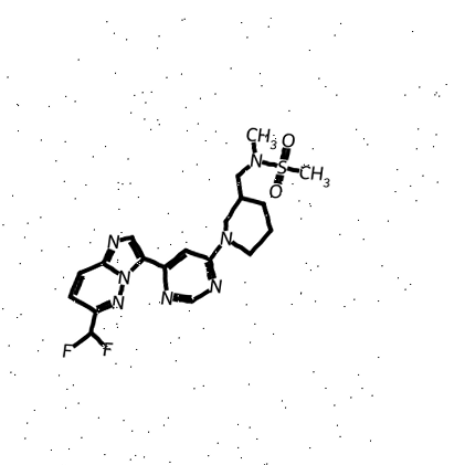 CN(CC1CCCN(c2cc(-c3cnc4ccc(C(F)F)nn34)ncn2)C1)S(C)(=O)=O